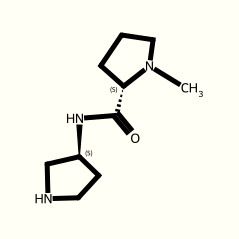 CN1CCC[C@H]1C(=O)N[C@H]1CCNC1